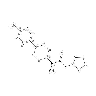 CN(C(=O)CC1CCCC1)C1CCN(c2ccc(N)cn2)CC1